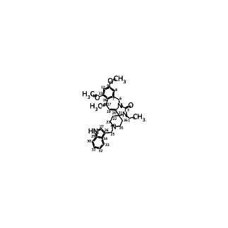 CCN1C(=O)N2Cc3cc(OC)cc(OC)c3[C@@H](C)C=C2C12CCN(Cc1c[nH]c3ccccc13)CC2